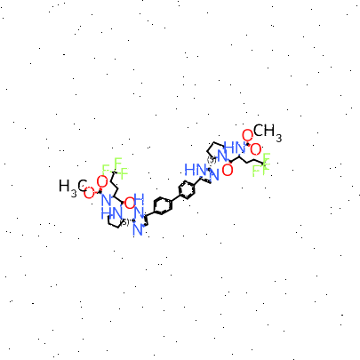 COC(=O)NC(CCC(F)(F)F)C(=O)N1CCC[C@H]1c1ncc(-c2ccc(-c3ccc(-c4cnc([C@@H]5CCCN5C(=O)C(CCC(F)(F)F)NC(=O)OC)[nH]4)cc3)cc2)[nH]1